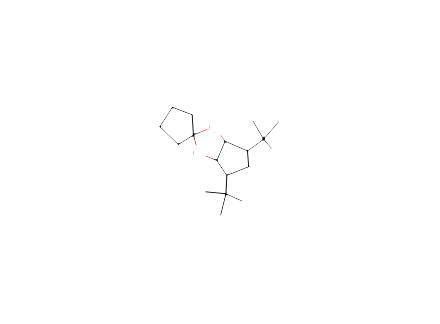 CC(C)(C)C1CC(C(C)(C)C)C2OC3(CCCC3)OC21